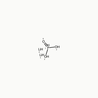 O=[PH](O)O.[LiH].[LiH]